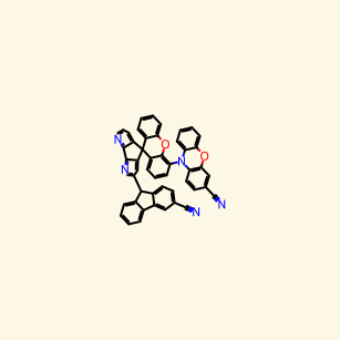 N#Cc1ccc2c(c1)Oc1ccccc1N2c1cccc2c1Oc1ccccc1C21c2cccnc2-c2ncc(C3c4ccccc4-c4cc(C#N)ccc43)cc21